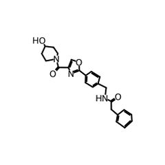 O=C(Cc1ccccc1)NCc1ccc(-c2nc(C(=O)N3CCC(O)CC3)co2)cc1